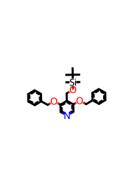 CC(C)(C)[Si](C)(C)OCc1c(OCc2ccccc2)cncc1OCc1ccccc1